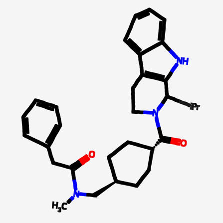 CC(C)C1c2[nH]c3ccccc3c2CCN1C(=O)[C@H]1CC[C@H](CN(C)C(=O)Cc2ccccc2)CC1